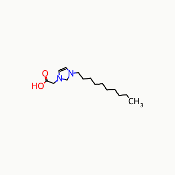 CCCCCCCCCCN1C=CN(CC(=O)O)C1